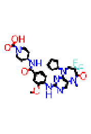 COc1cc(C(=O)NC2CCN(C(=O)O)CC2)ccc1Nc1ncc2c(n1)N(C1CCCC1)CC(F)(F)C(=O)N2C